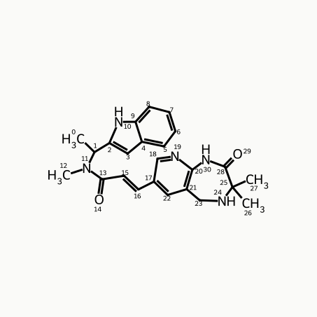 CC(c1cc2ccccc2[nH]1)N(C)C(=O)C=Cc1cnc2c(c1)CNC(C)(C)C(=O)N2